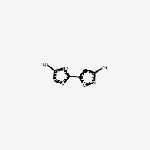 Cc1cc(-c2nnc(N)[nH]2)on1